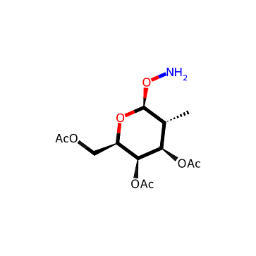 CC(=O)OC[C@H]1O[C@@H](ON)[C@H](C)[C@@H](OC(C)=O)[C@H]1OC(C)=O